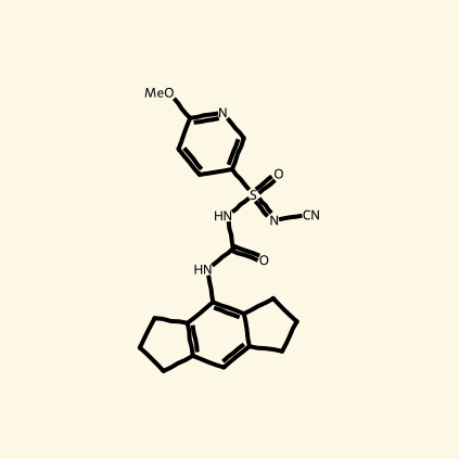 COc1ccc(S(=O)(=NC#N)NC(=O)Nc2c3c(cc4c2CCC4)CCC3)cn1